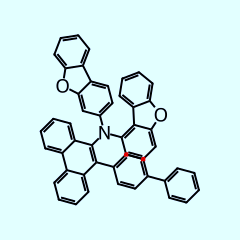 c1ccc(-c2ccc(-c3c(N(c4ccc5c(c4)oc4ccccc45)c4cccc5oc6ccccc6c45)c4ccccc4c4ccccc34)cc2)cc1